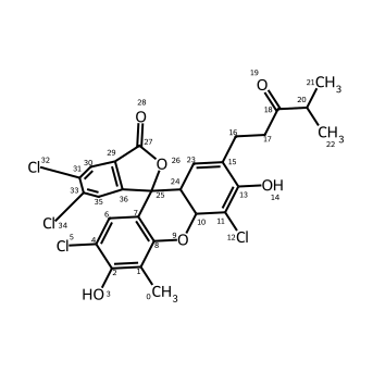 Cc1c(O)c(Cl)cc2c1OC1C(Cl)=C(O)C(CCC(=O)C(C)C)=CC1C21OC(=O)c2cc(Cl)c(Cl)cc21